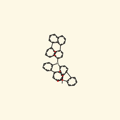 CC1(C)c2ccccc2-c2ccc(N(c3ccc(-c4cccc5cccc(-c6ccccc6)c45)cc3)c3ccccc3-c3ccccc3)cc21